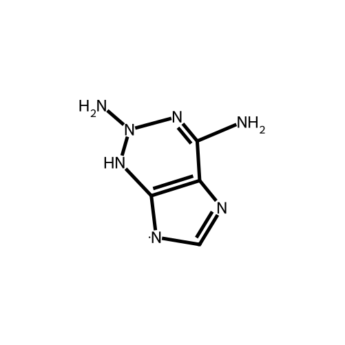 NC1=NN(N)NC2=C1N=C[N]2